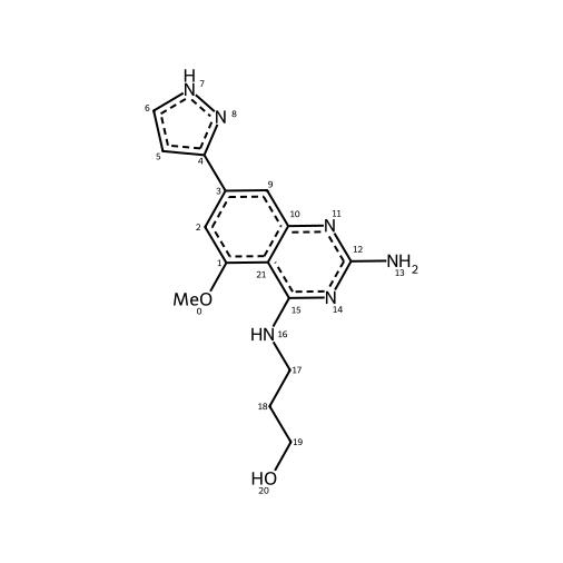 COc1cc(-c2cc[nH]n2)cc2nc(N)nc(NCCCO)c12